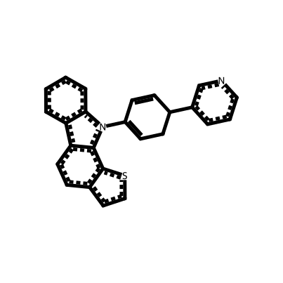 C1=CC(c2cccnc2)CC=C1n1c2ccccc2c2ccc3ccsc3c21